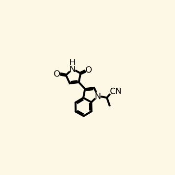 CC(C#N)n1cc(C2=CC(=O)NC2=O)c2ccccc21